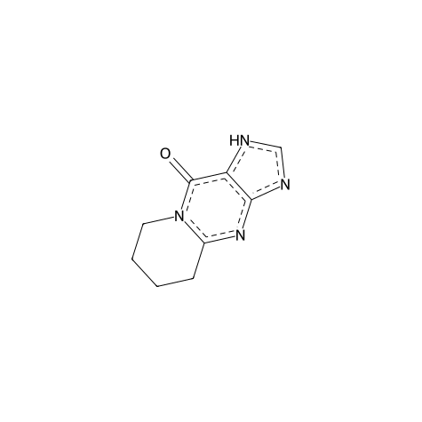 O=c1c2[nH]cnc2nc2n1CCCC2